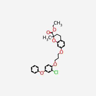 CCOC(=O)C1(C)CCc2ccc(OCCCOc3ccc(Oc4ccccc4)cc3Cl)cc2O1